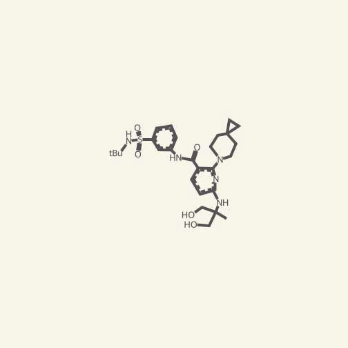 CC(C)(C)NS(=O)(=O)c1cccc(NC(=O)c2ccc(NC(C)(CO)CO)nc2N2CCC3(CC2)CC3)c1